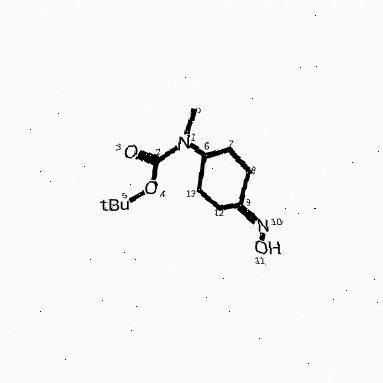 CN(C(=O)OC(C)(C)C)C1CCC(=NO)CC1